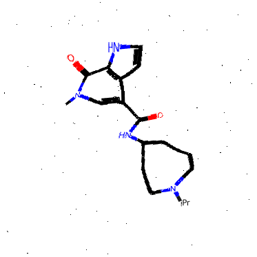 CC(C)N1CCCC(NC(=O)c2cn(C)c(=O)c3[nH]ccc23)CC1